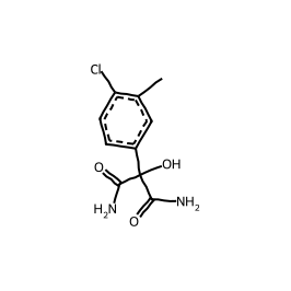 Cc1cc(C(O)(C(N)=O)C(N)=O)ccc1Cl